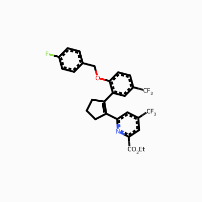 CCOC(=O)c1cc(C(F)(F)F)cc(C2=C(c3cc(C(F)(F)F)ccc3OCc3ccc(F)cc3)CCC2)n1